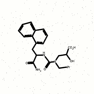 CC(C)CN(CC(O)C(=O)O)C(=O)NC(Cc1cccc2ccccc12)C(N)=O